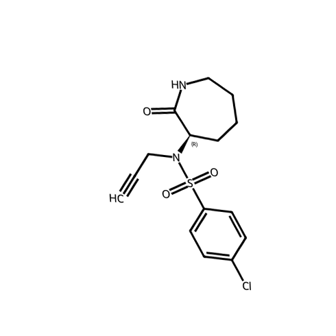 C#CCN([C@@H]1CCCCNC1=O)S(=O)(=O)c1ccc(Cl)cc1